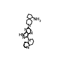 NC1CCCC12CCN(c1cnc3c(N4CCCc5ncccc54)n[nH]c3n1)CC2